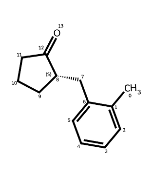 Cc1ccccc1C[C@@H]1CCCC1=O